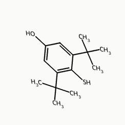 CC(C)(C)c1cc(O)cc(C(C)(C)C)c1S